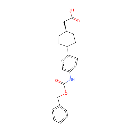 O=C(O)C[C@H]1CC[C@H](c2ccc(NC(=O)OCc3ccccc3)cc2)CC1